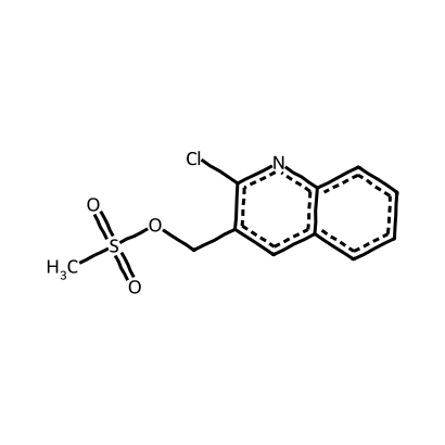 CS(=O)(=O)OCc1cc2ccccc2nc1Cl